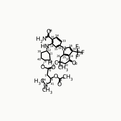 CC(=O)OC(CC(=O)O[C@H]1CC[C@H](Nc2cc(-n3cc(C(F)(F)F)c4c3CC(C)(C)CC4=O)ccc2C(N)=O)CC1)CN(C)C